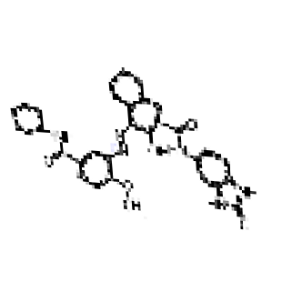 COc1ccc(C(=O)Nc2ccccc2)cc1/N=N/c1c(O)c(C(=O)Nc2ccc3[nH]c(=O)[nH]c3c2)cc2ccccc12